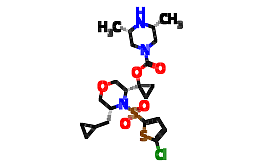 C[C@@H]1CN(C(=O)OC2([C@H]3COC[C@@H](CC4CC4)N3S(=O)(=O)c3ccc(Cl)s3)CC2)C[C@H](C)N1